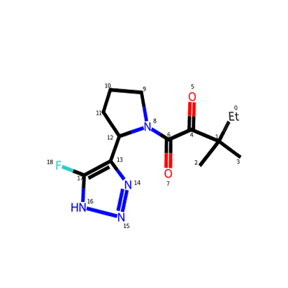 CCC(C)(C)C(=O)C(=O)N1CCCC1c1nn[nH]c1F